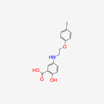 O=C(O)c1cc(NCCOc2ccc(I)cc2)ccc1O